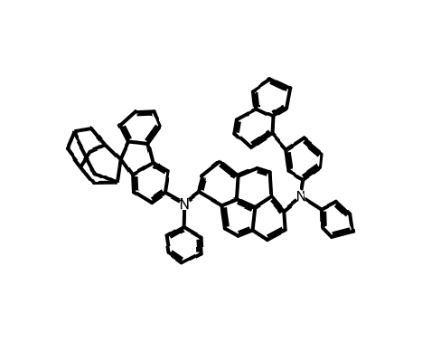 c1ccc(N(c2cccc(-c3cccc4ccccc34)c2)c2ccc3ccc4c(N(c5ccccc5)c5ccc6c(c5)-c5ccccc5C65C6CC7CC(C6)CC5C7)ccc5ccc2c3c54)cc1